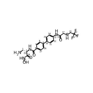 NC[C@H](NC(=O)c1ccc(-c2ccc(NC(=O)CNCC(F)(F)F)cc2)cc1)C(=O)NO